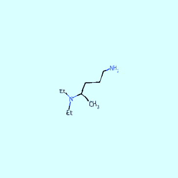 CCN(CC)C(C)CCCN